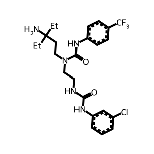 CCC(N)(CC)CCN(CCNC(=O)Nc1cccc(Cl)c1)C(=O)Nc1ccc(C(F)(F)F)cc1